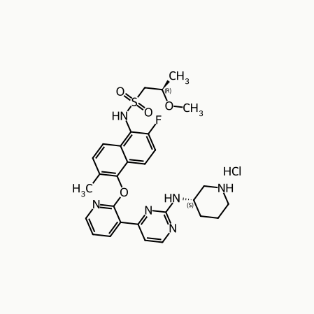 CO[C@H](C)CS(=O)(=O)Nc1c(F)ccc2c(Oc3ncccc3-c3ccnc(N[C@H]4CCCNC4)n3)c(C)ccc12.Cl